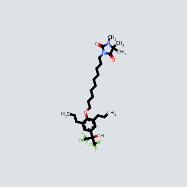 CCCc1cc(C(O)(C(F)(F)F)C(F)(F)F)cc(CCC)c1OCCCCCCCCCCN1C(=O)N(C)C(C)(C)C1=O